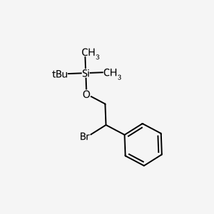 CC(C)(C)[Si](C)(C)OCC(Br)c1ccccc1